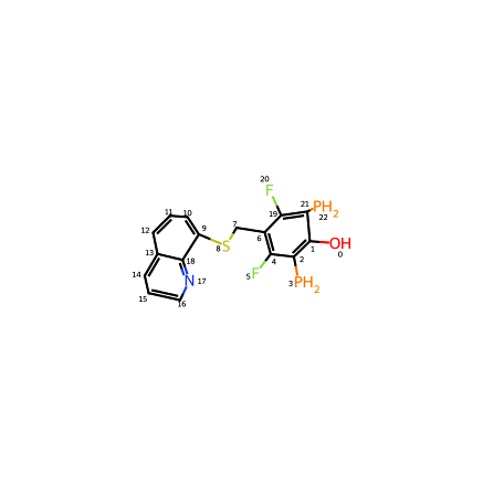 Oc1c(P)c(F)c(CSc2cccc3cccnc23)c(F)c1P